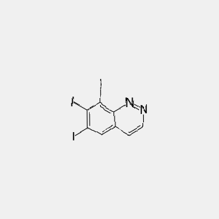 Ic1cc2ccnnc2c(I)c1I